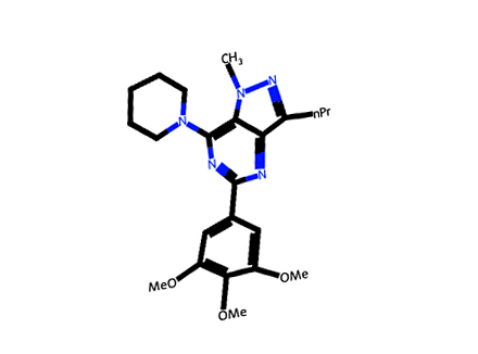 CCCc1nn(C)c2c(N3CCCCC3)nc(-c3cc(OC)c(OC)c(OC)c3)nc12